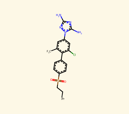 CC(C)CCS(=O)(=O)c1ccc(-c2c(Cl)cc(-n3nc(N)nc3N)cc2C(F)(F)F)cc1